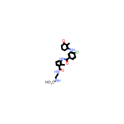 CC1=C(Nc2cc(C(=O)Nc3cccc(C(=O)NCCNC(=O)O)c3C)ccc2Cl)CCCC1=O